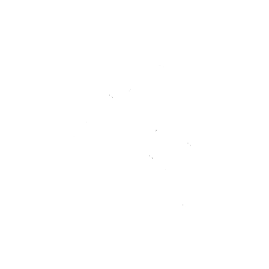 CC(C)(C)OC(=O)NC(CC[C@H](CN)NC(=O)OC(C)(C)C)C1CC1